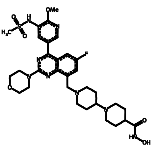 COc1ncc(-c2nc(N3CCOCC3)nc3c(CN4CCC(N5CCC(C(=O)NO)CC5)CC4)cc(F)cc23)cc1NS(C)(=O)=O